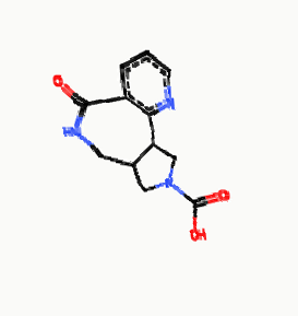 O=C1NCC2CN(C(=O)O)CC2c2ncccc21